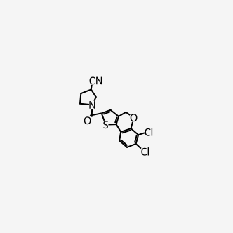 N#CC1CCN(C(=O)c2cc3c(s2)-c2ccc(Cl)c(Cl)c2OC3)C1